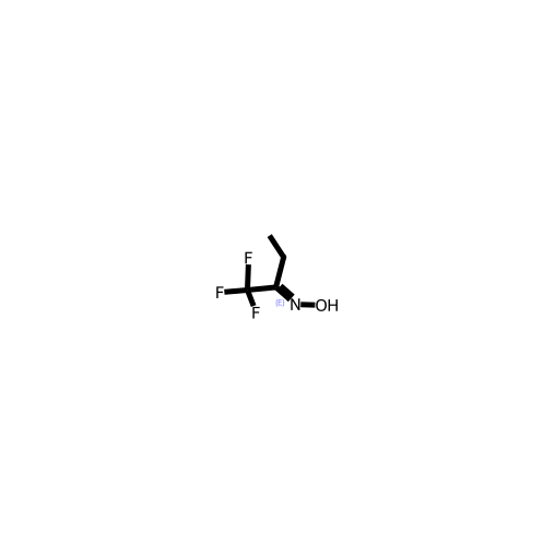 CC/C(=N\O)C(F)(F)F